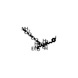 CCNC(=O)CCC(NC(=O)CCOCCOCCOCCOCCN)C(=O)NNC(=O)CCCc1ccc(I)cc1